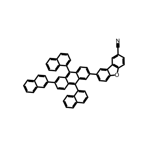 N#Cc1ccc2oc3ccc(-c4ccc5c(-c6cccc7ccccc67)c6cc(-c7ccc8ccccc8c7)ccc6c(-c6cccc7ccccc67)c5c4)cc3c2c1